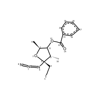 C[C@@H]1O[C@@](CI)(N=[N+]=[N-])[C@@H](C)C1OC(=O)c1ccccc1